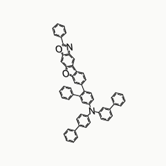 c1ccc(-c2ccc(N(c3cccc(-c4ccccc4)c3)c3ccc(-c4ccc5c(c4)oc4cc6oc(-c7ccccc7)nc6cc45)c(-c4ccccc4)c3)cc2)cc1